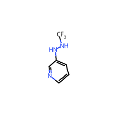 FC(F)(F)NNc1cccnc1